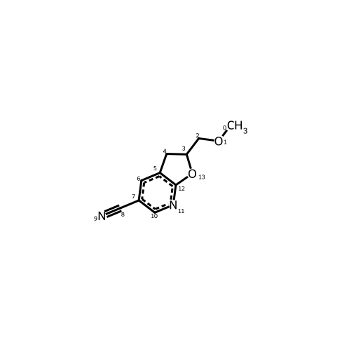 COCC1Cc2cc(C#N)cnc2O1